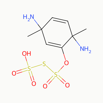 CC1(N)C=CC(C)(N)C(OS(=O)(=O)SS(=O)(=O)O)=C1